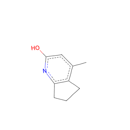 Cc1cc(O)nc2c1CCC2